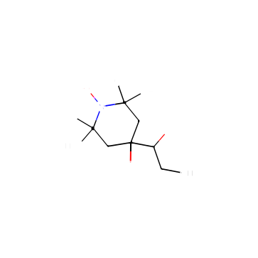 CCC(O)C1(O)CC(C)(C)N([O])C(C)(C)C1